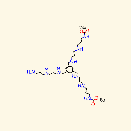 CC(C)(C)OC(=O)NCCCNCCCNCc1cc(CNCCCNCCCN)cc(CNCCCNCCCNC(=O)OC(C)(C)C)c1